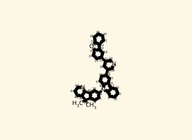 CC1(C)c2ccc(-n3c4ccccc4c4cc(-c5cncc(-c6ccc7oc8ccccc8c7c6)c5)ccc43)cc2-c2ncccc21